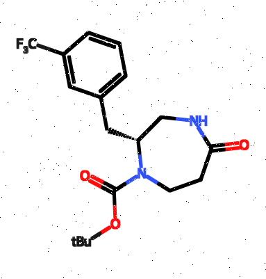 CC(C)(C)OC(=O)N1CCC(=O)NC[C@H]1Cc1cccc(C(F)(F)F)c1